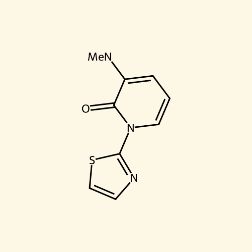 CNc1cccn(-c2nccs2)c1=O